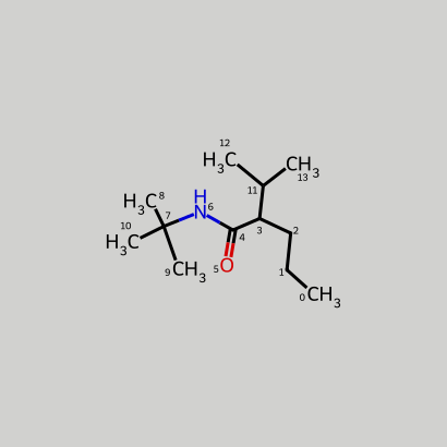 CCCC(C(=O)NC(C)(C)C)C(C)C